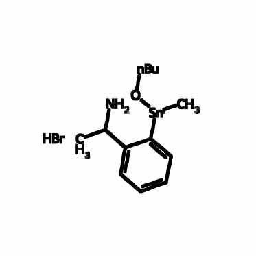 Br.CCCC[O][Sn]([CH3])[c]1ccccc1C(C)N